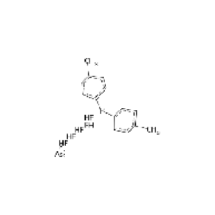 Cc1ccc([I+]c2ccc(C)cc2)cc1.F.F.F.F.F.[As].[F-]